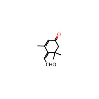 CC1=CC(=O)CC(C)(C)/C1=C\C=O